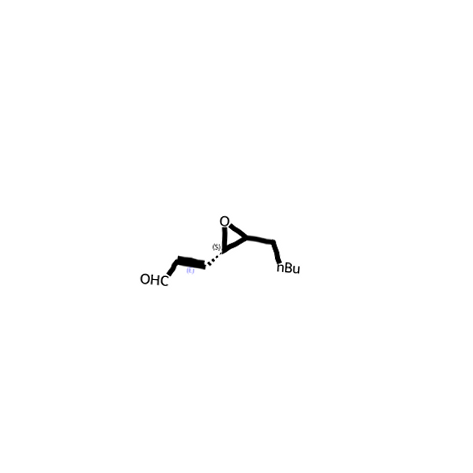 CCCCCC1O[C@H]1/C=C/C=O